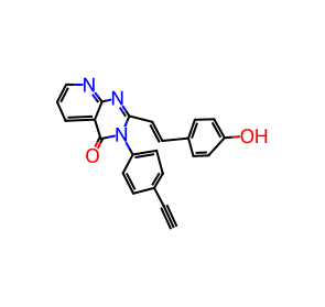 C#Cc1ccc(-n2c(C=Cc3ccc(O)cc3)nc3ncccc3c2=O)cc1